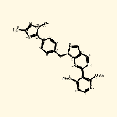 COc1ncnc(OC)c1-c1ncc2cnn(Cc3ccc(-c4nc(C(F)(F)F)cn4C(C)C)cc3)c2n1